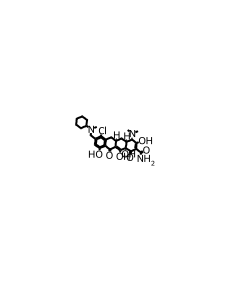 CN(Cc1cc(O)c2c(c1Cl)C[C@H]1C[C@H]3[C@H](N(C)C)C(O)=C(C(N)=O)C(=O)[C@@]3(O)C(O)=C1C2=O)C1CCCCC1